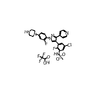 CS(=O)(=O)Nc1cc(Cl)cc(-c2cn(-c3ccc(N4CCNCC4)cc3F)nc2-c2ccncc2)c1F.O=C(O)C(F)(F)F